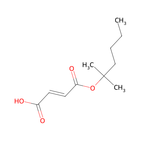 CCCCC(C)(C)OC(=O)C=CC(=O)O